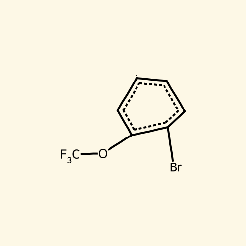 FC(F)(F)Oc1c[c]ccc1Br